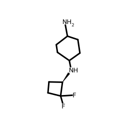 NC1CCC(N[C@@H]2CCC2(F)F)CC1